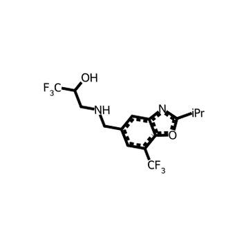 CC(C)c1nc2cc(CNCC(O)C(F)(F)F)cc(C(F)(F)F)c2o1